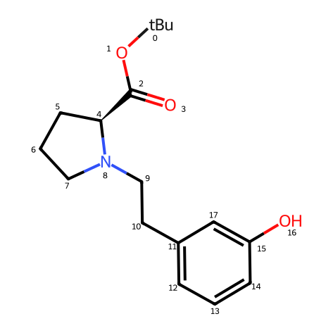 CC(C)(C)OC(=O)[C@@H]1CCCN1CCc1cccc(O)c1